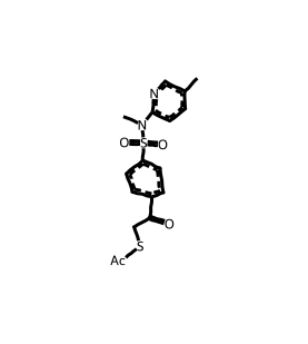 CC(=O)SCC(=O)c1ccc(S(=O)(=O)N(C)c2ccc(C)cn2)cc1